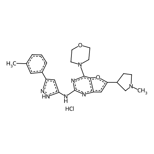 Cc1cccc(-c2cc(Nc3nc(N4CCOCC4)c4oc(C5CCN(C)C5)cc4n3)[nH]n2)c1.Cl